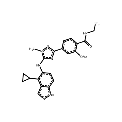 COc1cc(-c2nc(Nc3ccc4[nH]ncc4c3C3CC3)n(C)n2)ccc1C(=O)NCC(F)(F)F